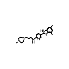 Cc1cc(C)c2nc(-c3ccc(NCCCN4CCN(C)CC4)nc3)[nH]c2c1